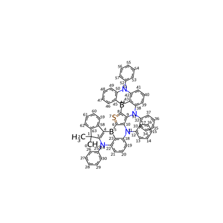 CC1(C)C2=C(B3c4sc5c(c4N(c4ccccc4)c4cccc(c43)N2c2ccccc2)N(c2ccccc2)c2cccc3c2B5c2ccccc2N3c2ccccc2)c2ccccc21